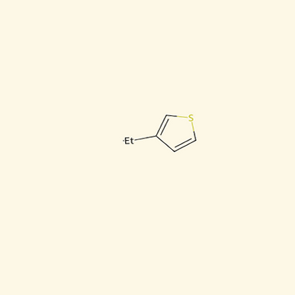 C[CH]c1ccsc1